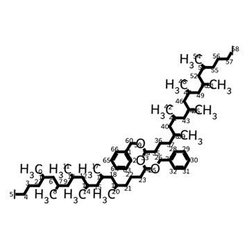 CC(CCCI)CC(C)CC(C)CC(C)CC(C)CC(C)CCCC(OCc1ccccc1)OC(CCCC(C)CC(C)CC(C)CC(C)CC(C)CC(C)CCCI)OCc1ccccc1